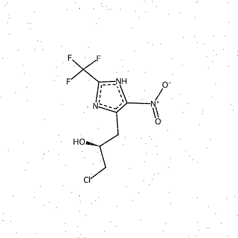 O=[N+]([O-])c1[nH]c(C(F)(F)F)nc1C[C@H](O)CCl